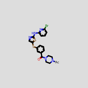 CC(=O)N1CCN(C(=O)c2cccc(Sc3cnc(Nc4cccc(Br)n4)s3)c2)CC1